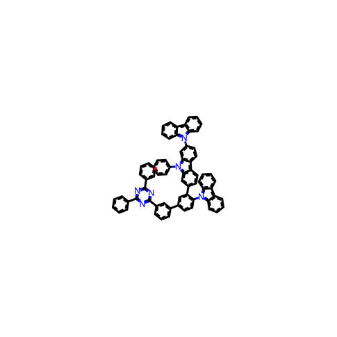 c1ccc(-c2nc(-c3ccccc3)nc(-c3cccc(-c4ccc(-n5c6ccccc6c6ccccc65)c(-c5ccc6c7ccc(-n8c9ccccc9c9ccccc98)cc7n(-c7ccccc7)c6c5)c4)c3)n2)cc1